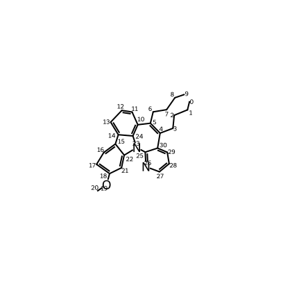 CCCCC1=C(CCCC)c2cccc3c4ccc(OC)cc4n(c23)-c2ncccc21